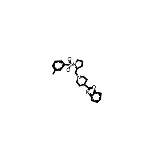 Cc1cccc(S(=O)(=O)N2CCCC2CN2CCC(c3nc4ccccc4o3)CC2)c1